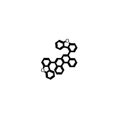 c1ccc2c(c1)oc1cccc(-c3cc4cc(-c5cccc6oc7ccccc7c56)c5ccccc5c4c4ccccc34)c12